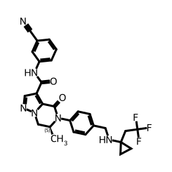 C[C@H]1Cn2ncc(C(=O)Nc3cccc(C#N)c3)c2C(=O)N1c1ccc(CNC2(CC(F)(F)F)CC2)cc1